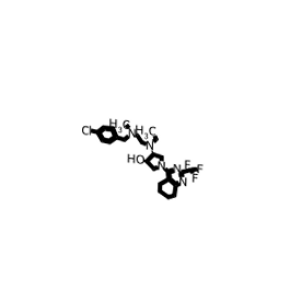 CCN(CCN(C)Cc1ccc(Cl)cc1)[C@@H]1CN(c2nc(C(F)(F)F)nc3c2CCCC3)C[C@H]1O